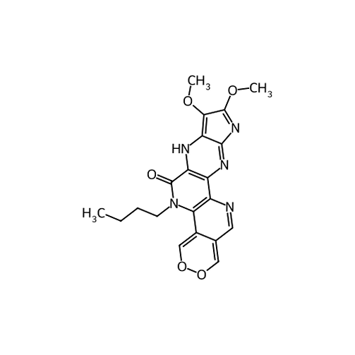 CCCCn1c(=O)c2[nH]c3c(OC)c(OC)nc-3nc2c2ncc3c(c21)=COOC=3